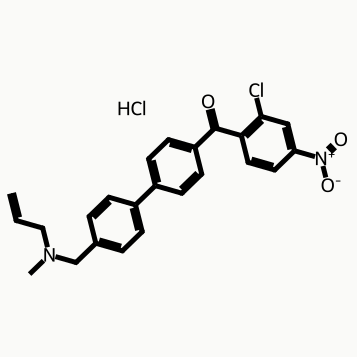 C=CCN(C)Cc1ccc(-c2ccc(C(=O)c3ccc([N+](=O)[O-])cc3Cl)cc2)cc1.Cl